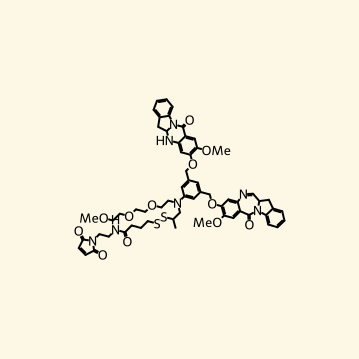 COCCOCCOCCN(CC(C)SSCCCC(=O)NCCN1C(=O)C=CC1=O)c1cc(COc2cc3c(cc2OC)C(=O)N2c4ccccc4CC2C=N3)cc(COc2cc3c(cc2OC)C(=O)N2c4ccccc4CC2N3)c1